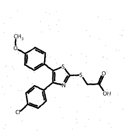 COc1ccc(-c2sc(SCC(=O)O)nc2-c2ccc(Cl)cc2)cc1